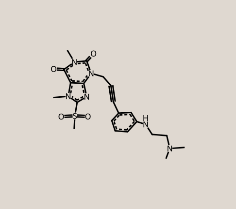 CN(C)CCNc1cccc(C#CCn2c(=O)n(C)c(=O)c3c2nc(S(C)(=O)=O)n3C)c1